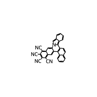 N#Cc1c(C#N)c(C#N)c2cc3c(cc2c1C#N)c1c2ccccc2ccc1c1c2ccccc2cn31